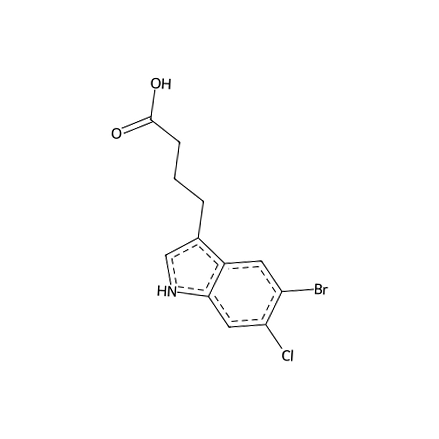 O=C(O)CCCc1c[nH]c2cc(Cl)c(Br)cc12